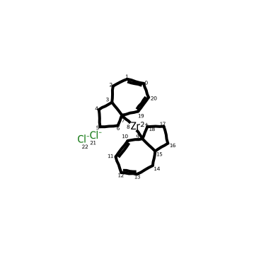 C1=CCC2CCC[C]2([Zr+2][C]23C=CC=CCC2CCC3)C=C1.[Cl-].[Cl-]